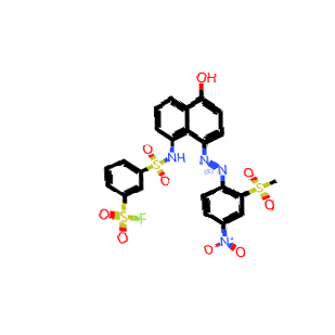 CS(=O)(=O)c1cc([N+](=O)[O-])ccc1/N=N/c1ccc(O)c2cccc(NS(=O)(=O)c3cccc(S(=O)(=O)F)c3)c12